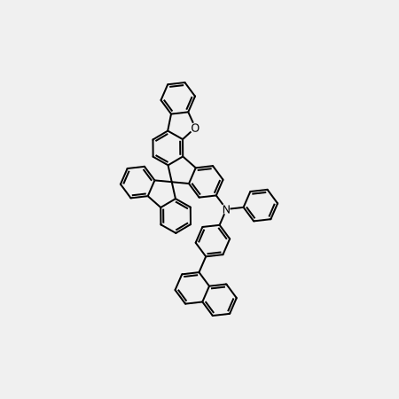 c1ccc(N(c2ccc(-c3cccc4ccccc34)cc2)c2ccc3c(c2)C2(c4ccccc4-c4ccccc42)c2ccc4c(oc5ccccc54)c2-3)cc1